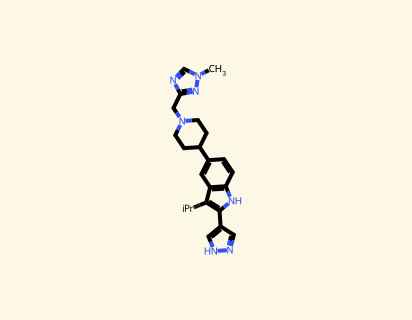 CC(C)c1c(-c2cn[nH]c2)[nH]c2ccc(C3CCN(Cc4ncn(C)n4)CC3)cc12